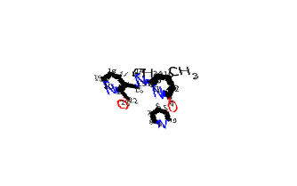 Cc1cc(Oc2cccnc2)nc(N(C)Cc2cccnc2C=O)c1